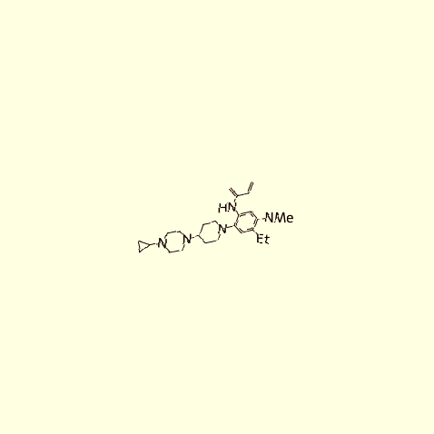 C=CC(=C)Nc1cc(NC)c(CC)cc1N1CCC(N2CCN(C3CC3)CC2)CC1